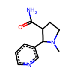 CN1CCC(C(N)=O)C1c1cccnc1